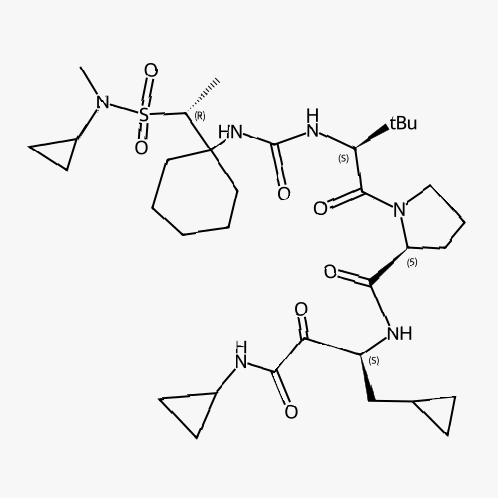 C[C@H](C1(NC(=O)N[C@H](C(=O)N2CCC[C@H]2C(=O)N[C@@H](CC2CC2)C(=O)C(=O)NC2CC2)C(C)(C)C)CCCCC1)S(=O)(=O)N(C)C1CC1